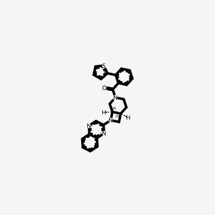 O=C(c1ccccc1-c1cccs1)N1CC[C@H]2CN(c3cnc4ccccc4n3)[C@H]2C1